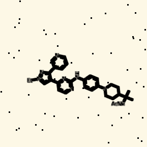 CCn1cc(-c2ccnc(Nc3ccc(N4CCC(C(C)(C)NC(C)=O)CC4)cc3)n2)c(-c2cccnc2)n1